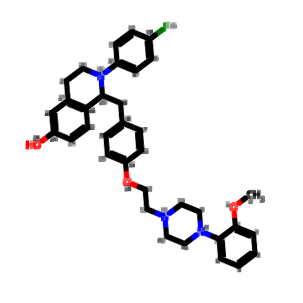 COc1ccccc1N1CCN(CCOc2ccc(CC3c4ccc(O)cc4CCN3c3ccc(F)cc3)cc2)CC1